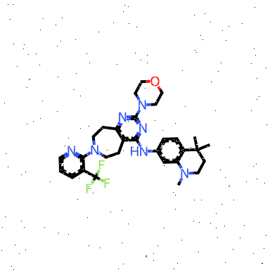 CN1CCC(C)(C)c2ccc(Nc3nc(N4CCOCC4)nc4c3CCN(c3ncccc3C(F)(F)F)CC4)cc21